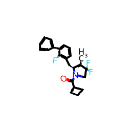 C[C@@H]1[C@H](Cc2cccc(-c3ccccc3)c2F)N(C(=O)C2CCC2)CC1(F)F